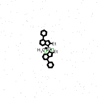 C[CH]=[Ti]([Cl])([Cl])([CH]1C(CC)=Cc2c(-c3ccccc3)cccc21)[CH]1C(CC)=Cc2c(-c3ccccc3)cccc21